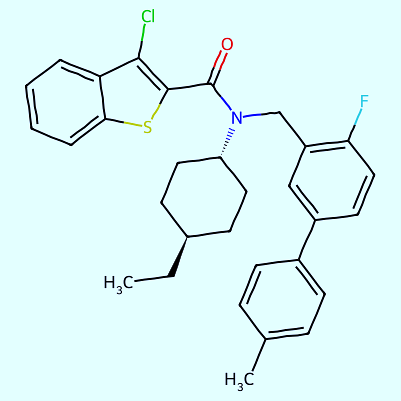 CC[C@H]1CC[C@H](N(Cc2cc(-c3ccc(C)cc3)ccc2F)C(=O)c2sc3ccccc3c2Cl)CC1